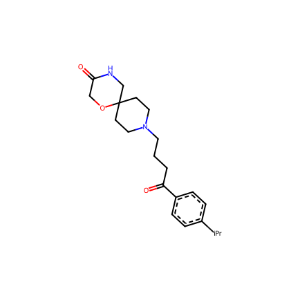 CC(C)c1ccc(C(=O)CCCN2CCC3(CC2)CNC(=O)CO3)cc1